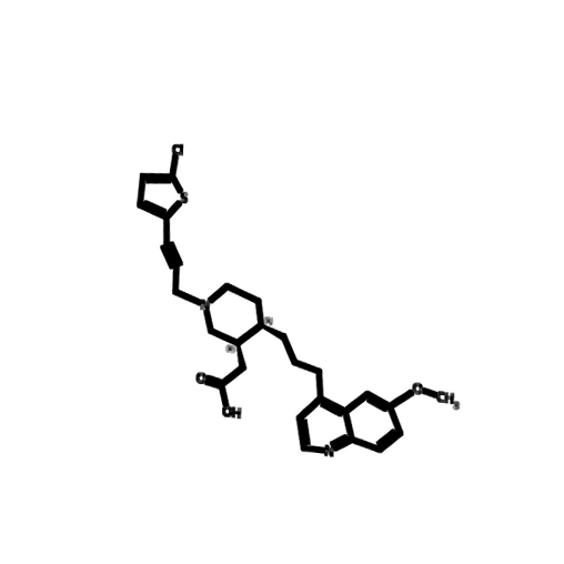 COc1ccc2nccc(CCC[C@@H]3CCN(CC#Cc4ccc(Cl)s4)C[C@@H]3CC(=O)O)c2c1